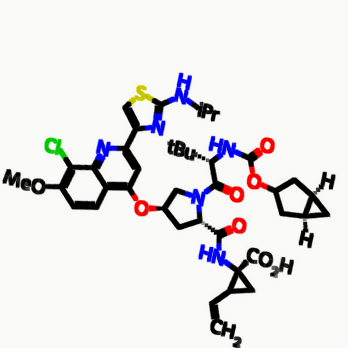 C=CC1C[C@]1(NC(=O)[C@@H]1C[C@@H](Oc2cc(-c3csc(NC(C)C)n3)nc3c(Cl)c(OC)ccc23)CN1C(=O)[C@@H](NC(=O)OC1C[C@@H]2C[C@@H]2C1)C(C)(C)C)C(=O)O